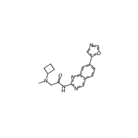 CN(CC(=O)Nc1ncc2ccc(-c3cnco3)cc2n1)C1CCC1